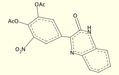 CC(=O)Oc1cc(-c2nc3ccccc3[nH]c2=O)cc([N+](=O)[O-])c1OC(C)=O